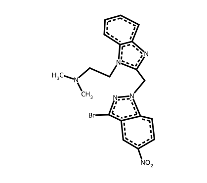 CN(C)CCn1c(Cn2nc(Br)c3cc([N+](=O)[O-])ccc32)nc2ccccc21